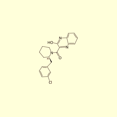 O=C(c1nc2ccccc2nc1O)N1CCCC[C@@H]1Cc1cccc(Cl)c1